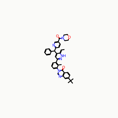 CC=C1NN=C(c2cccc(-n3cnc4cc(C(C)(C)C)ccc4c3=O)c2C)C=C1C(c1ccccc1)c1ccc(C(=O)N2CCOCC2)cn1